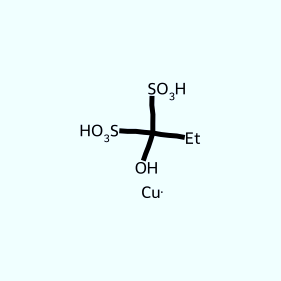 CCC(O)(S(=O)(=O)O)S(=O)(=O)O.[Cu]